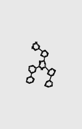 c1ccc(-c2cccc(-c3cc(-c4cccc(-c5cncnc5)c4)nc(-c4cccc(-c5ccccc5)c4)n3)c2)cc1